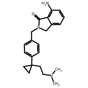 CN(C)CCC1(c2ccc(CN3Cc4cccc(N)c4C3=O)cc2)CC1